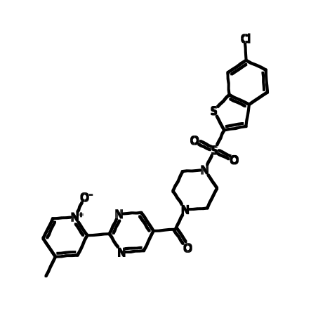 Cc1cc[n+]([O-])c(-c2ncc(C(=O)N3CCN(S(=O)(=O)c4cc5ccc(Cl)cc5s4)CC3)cn2)c1